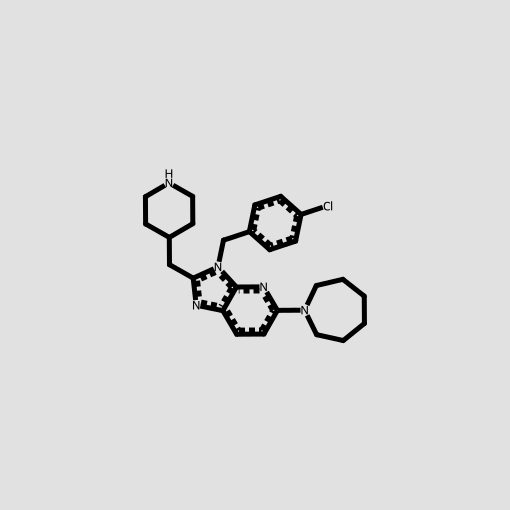 Clc1ccc(Cn2c(CC3CCNCC3)nc3ccc(N4CCCCCC4)nc32)cc1